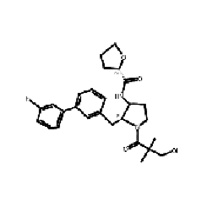 CC(C)(CO)C(=O)N1CCC(NC(=O)[C@@H]2CCCO2)[C@@H]1Cc1cccc(-c2cccc(F)c2)c1